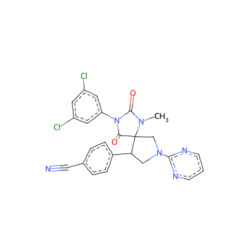 CN1C(=O)N(c2cc(Cl)cc(Cl)c2)C(=O)C12CN(c1ncccn1)CC2c1ccc(C#N)cc1